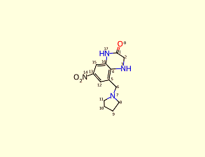 O=C1CNc2c(CN3CCCC3)cc([N+](=O)[O-])cc2N1